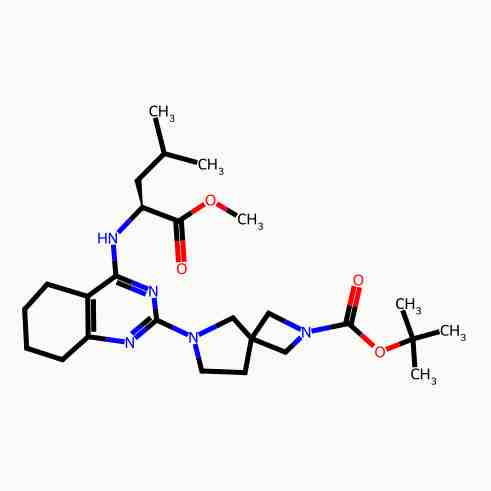 COC(=O)[C@H](CC(C)C)Nc1nc(N2CCC3(CN(C(=O)OC(C)(C)C)C3)C2)nc2c1CCCC2